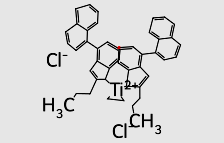 CCCC1=Cc2c(-c3cccc4ccccc34)cccc2[CH]1[Ti+2]1([CH]2C(CCC)=Cc3c(-c4cccc5ccccc45)cccc32)[CH2][CH2]1.[Cl-].[Cl-]